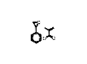 C=C(C)C(=O)O.c1ccc(C2CO2)cc1